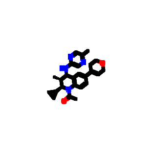 CC(=O)N1c2ccc(C3=CCOCC3)cc2[C@H](Nc2cnc(C)cn2)[C@@H](C)[C@@H]1C1CC1